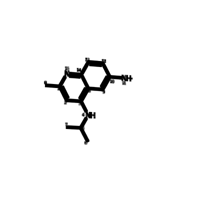 Cc1cc(NC(C)C)c2cc([NH])ccc2n1